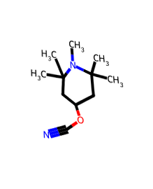 CN1C(C)(C)CC(OC#N)CC1(C)C